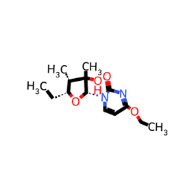 CCOc1ccn([C@@H]2O[C@H](CC)[C@H](C)C2(C)O)c(=O)n1